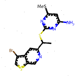 CSc1cc(N)nc(SC(C)c2cc3c(Br)csc3cn2)n1